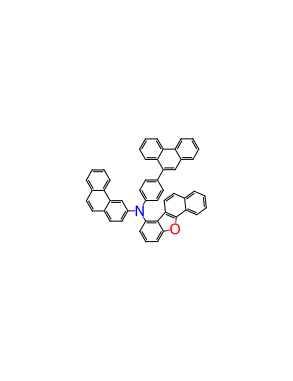 c1ccc2c(c1)ccc1ccc(N(c3ccc(-c4cc5ccccc5c5ccccc45)cc3)c3cccc4oc5c6ccccc6ccc5c34)cc12